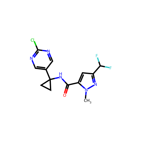 Cn1nc(C(F)F)cc1C(=O)NC1(c2cnc(Cl)nc2)CC1